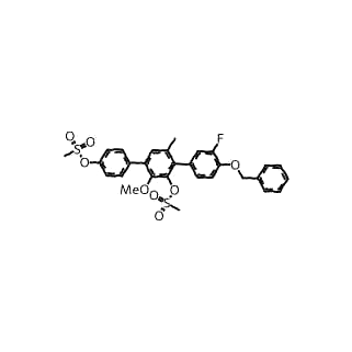 COc1c(-c2ccc(OS(C)(=O)=O)cc2)cc(C)c(-c2ccc(OCc3ccccc3)c(F)c2)c1OS(C)(=O)=O